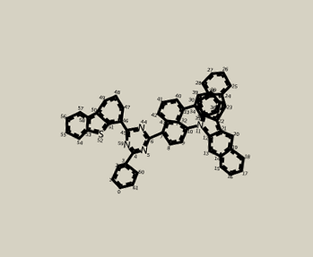 c1ccc(-c2nc(-c3ccc(-n4c5cc6ccccc6cc5c5cc6ccccc6cc54)c4c(-c5ccccc5)cccc34)nc(-c3cccc4c3sc3ccccc34)n2)cc1